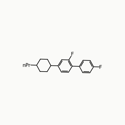 CCCC1CCC(c2ccc(-c3ccc(F)cc3)c(F)c2)CC1